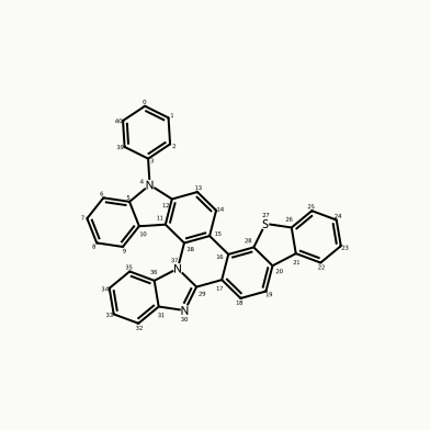 c1ccc(-n2c3ccccc3c3c2ccc2c4c(ccc5c6ccccc6sc54)c4nc5ccccc5n4c23)cc1